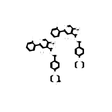 COc1cccc(F)c1-c1cc2c(NC(=O)c3ccc(N4CCNC(=O)C4)cc3)n[nH]c2cn1.COc1cccc(F)c1-c1cc2c(NC(=O)c3ccc(N4CCOCC4)cc3)n[nH]c2cn1